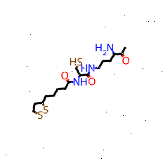 CC(=O)C(N)CCCNC(=O)C(CS)NC(=O)CCCCC1CCSS1